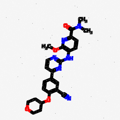 COc1nc(C(=O)N(C)C)ccc1Nc1nccc(-c2ccc(OC3CCOCC3)c(C#N)c2)n1